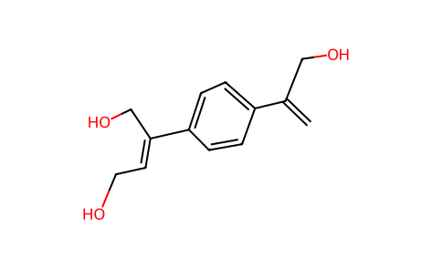 C=C(CO)c1ccc(/C(=C/CO)CO)cc1